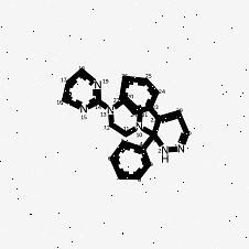 C1=NNC(c2ccccc2)(N2CCN(c3ncccn3)CC2)C(c2ccccc2)=C1